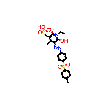 CCn1c(O)c(/N=N/c2ccc(S(=O)(=O)c3ccc(C)cc3)cc2)c(C)c(CS(=O)(=O)O)c1=O